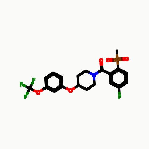 CS(=O)(=O)c1ccc(F)cc1C(=O)N1CCC(Oc2cccc(OC(F)(F)F)c2)CC1